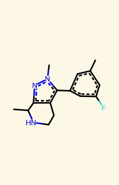 Cc1cc(F)cc(-c2c3c(nn2C)C(C)NCC3)c1